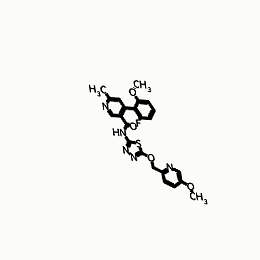 COc1ccc(COc2nnc(NC(=O)c3cnc(C)cc3-c3c(F)cccc3OC)s2)nc1